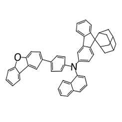 c1ccc2c(c1)-c1cc(N(c3ccc(-c4ccc5oc6ccccc6c5c4)cc3)c3cccc4ccccc34)ccc1C21C2CC3CC(C2)CC1C3